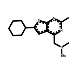 Cc1nc(CN(C)C(C)(C)C)c2cc(C3CCCCC3)sc2n1